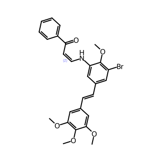 COc1cc(C=Cc2cc(Br)c(OC)c(N/C=C\C(=O)c3ccccc3)c2)cc(OC)c1OC